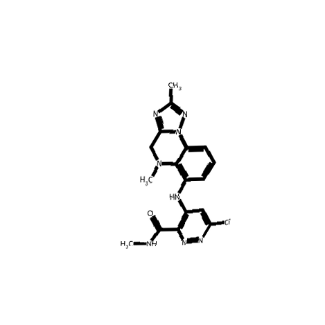 CNC(=O)c1nnc(Cl)cc1Nc1cccc2c1N(C)Cc1nc(C)nn1-2